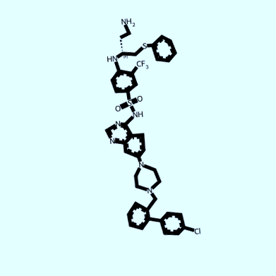 NCC[C@H](CSc1ccccc1)Nc1ccc(S(=O)(=O)Nc2ncnc3cc(N4CCN(Cc5ccccc5-c5ccc(Cl)cc5)CC4)ccc23)cc1C(F)(F)F